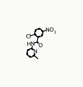 Cc1cccc(NC(=O)c2cc([N+](=O)[O-])ccc2Cl)n1